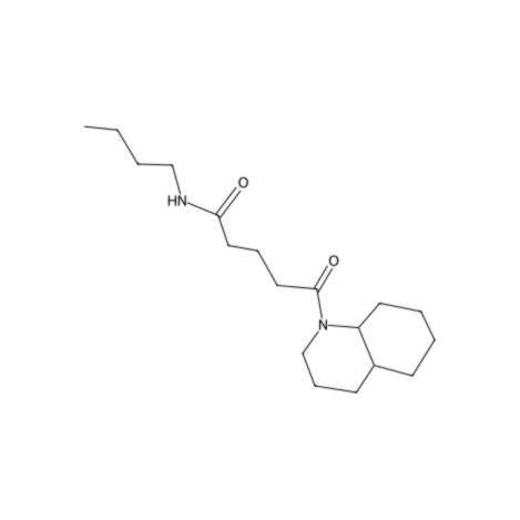 CCCCNC(=O)CCCC(=O)N1CCCC2CCCCC21